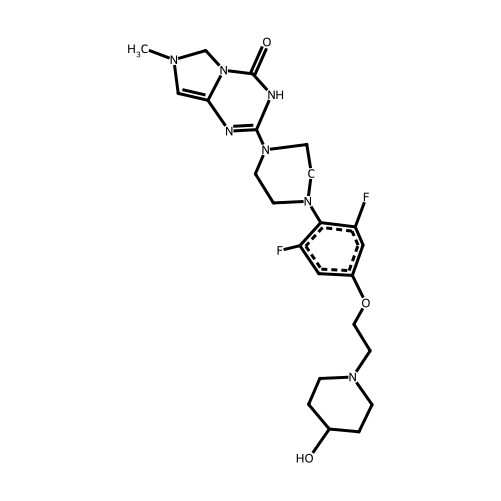 CN1C=C2N=C(N3CCN(c4c(F)cc(OCCN5CCC(O)CC5)cc4F)CC3)NC(=O)N2C1